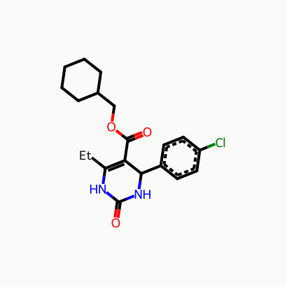 CCC1=C(C(=O)OCC2CCCCC2)C(c2ccc(Cl)cc2)NC(=O)N1